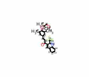 Cc1cc(/C=C/C(=O)c2cc3ccccc3nc2C(F)(F)F)cc(C)c1OC(C)(C)C=O